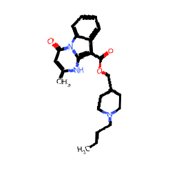 CCCCN1CCC(COC(=O)c2c3ccccc3n3c(=O)cc(C)[nH]c23)CC1